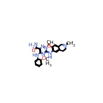 COc1cc2c(cc1Nc1nnc(C(N)=O)c(Nc3ccccc3OC)n1)CCN(C)C2